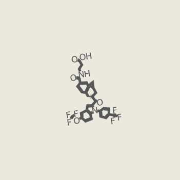 O=C(O)CCNC(=O)c1ccc(C[C@@H](CC2CC2)C(=O)c2cc3cc(OC(F)(F)F)ccc3n2-c2ccc(C(F)(F)F)cc2)cc1